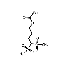 CCC(C)C(=O)OCCCC(S(C)(=O)=O)S(C)(=O)=O